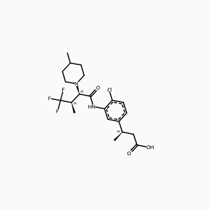 CC1CCN([C@@H](C(=O)Nc2cc([C@H](C)CC(=O)O)ccc2Cl)[C@@H](C)C(F)(F)F)CC1